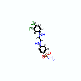 NS(=O)(=O)c1ccc(NCCNc2ccc(Cl)c(F)c2)cc1